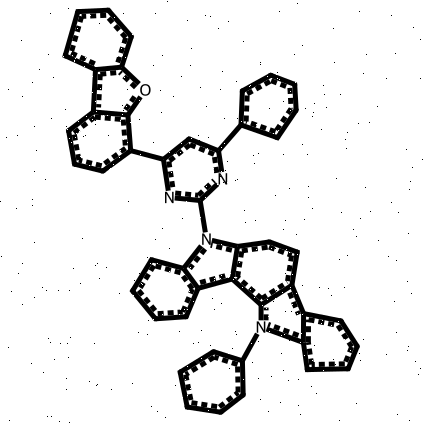 c1ccc(-c2cc(-c3cccc4c3oc3ccccc34)nc(-n3c4ccccc4c4c3ccc3c5ccccc5n(-c5ccccc5)c34)n2)cc1